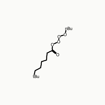 CCCCOOOOC(=O)CCCCCC(C)(C)C